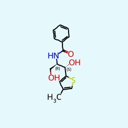 Cc1csc([C@@H](O)[C@@H](CO)NC(=O)c2ccccc2)c1